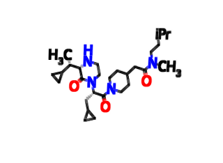 CC(C)CCN(C)C(=O)CC1CCN(C(=O)[C@H](CC2CC2)N2CCN[C@@H]([C@@H](C)C3CC3)C2=O)CC1